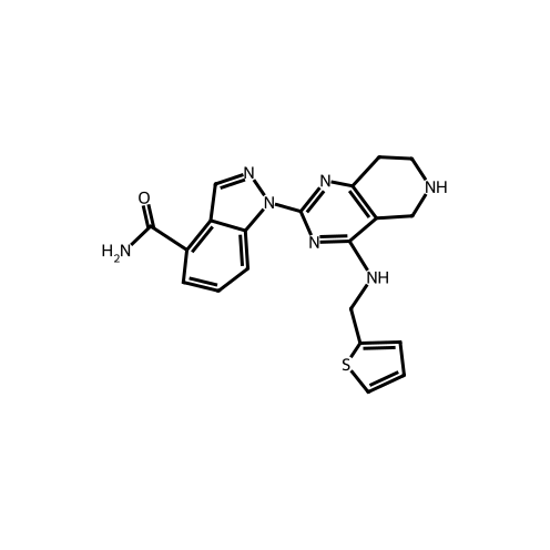 NC(=O)c1cccc2c1cnn2-c1nc2c(c(NCc3cccs3)n1)CNCC2